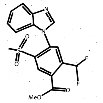 COC(=O)c1cc(S(C)(=O)=O)c(-n2cnc3ccccc32)cc1C(F)F